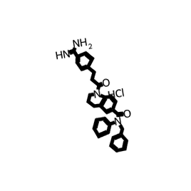 Cl.N=C(N)c1ccc(CCC(=O)N2CCCc3cc(C(=O)N(Cc4ccccc4)c4ccccc4)ccc32)cc1